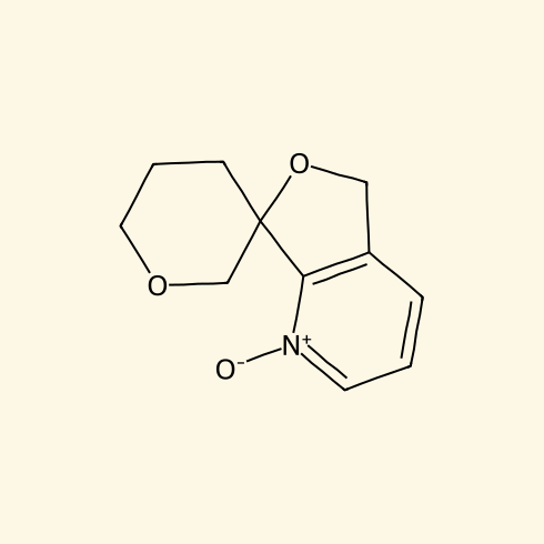 [O-][n+]1cccc2c1C1(CCCOC1)OC2